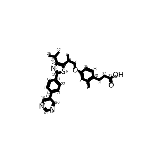 Cc1cc(OCC(C)c2sc(-c3ccc(-c4cncnc4)cc3)nc2C(C)C)ccc1CCC(=O)O